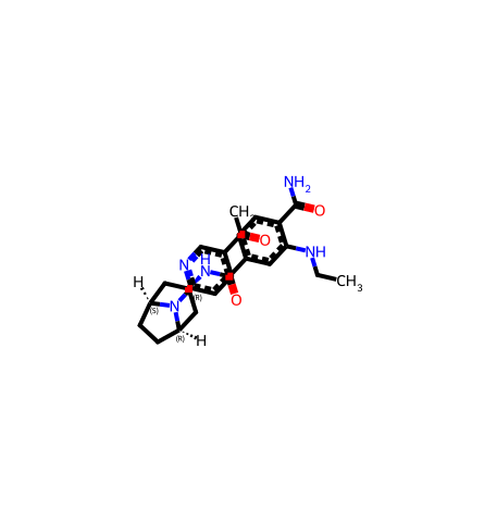 CCNc1cc(C(=O)N[C@H]2C[C@H]3CC[C@@H](C2)N3c2ccc(C(C)=O)cn2)ccc1C(N)=O